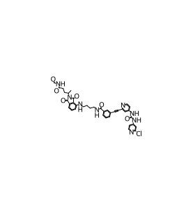 CC(CCC(=O)NC=O)N1C(=O)c2cccc(NCCCCNC(=O)c3cccc(C#Cc4cc(NC(=O)Nc5ccnc(Cl)c5)ccn4)c3)c2C1=O